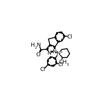 CC1CCCC[N+]1(c1ccc(Cl)cc1Cl)n1nc(C(N)=O)c2c1-c1cc(Cl)ccc1C2